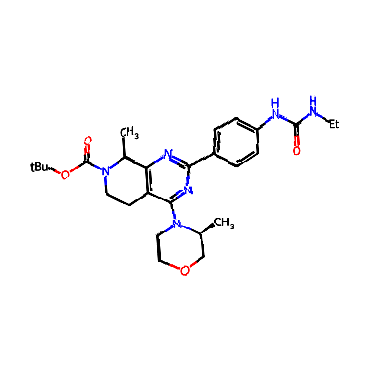 CCNC(=O)Nc1ccc(-c2nc3c(c(N4CCOC[C@@H]4C)n2)CCN(C(=O)OC(C)(C)C)C3C)cc1